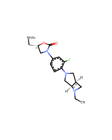 CC(=O)NC[C@H]1CN(c2ccc(N3C[C@H]4CN(CC#N)[C@H]4C3)c(F)c2)C(=O)O1